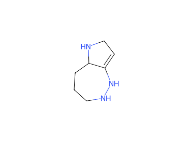 C1=C2NNCCCC2NC1